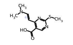 CSc1ncc(C(=O)O)c(/C=C/N(C)C)n1